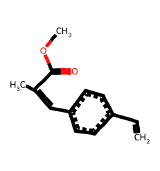 C=Cc1ccc(C=C(C)C(=O)OC)cc1